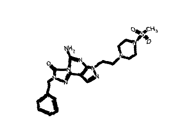 CS(=O)(=O)N1CCN(CCn2ncc3c2nc(N)n2c(=O)n(Cc4ccccc4)nc32)CC1